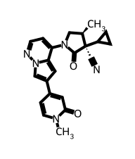 C[C@@H]1CN(c2ccnn3cc(-c4ccn(C)c(=O)c4)cc23)C(=O)[C@]1(C#N)C1CC1